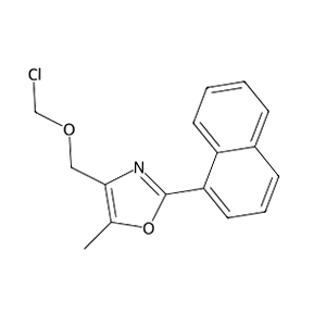 Cc1oc(-c2cccc3ccccc23)nc1COCCl